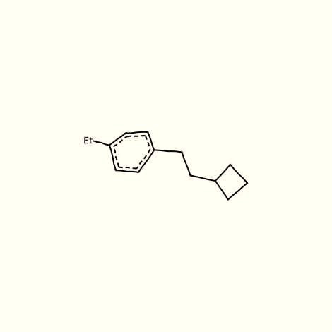 CCc1ccc(CCC2CCC2)cc1